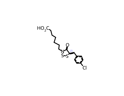 O=C(O)CCCCCCN1SS/C(=C\c2ccc(Cl)cc2)C1=O